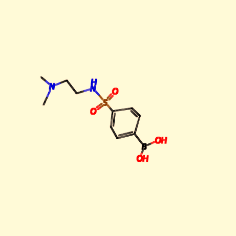 CN(C)CCNS(=O)(=O)c1ccc(B(O)O)cc1